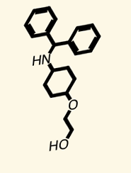 OCCOC1CCC(NC(c2ccccc2)c2ccccc2)CC1